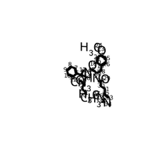 CCCCOC1(c2ccccc2C)CN(C(=O)C(Cc2ccc(OC)cc2)NC(=O)CCc2cncn2C)C1